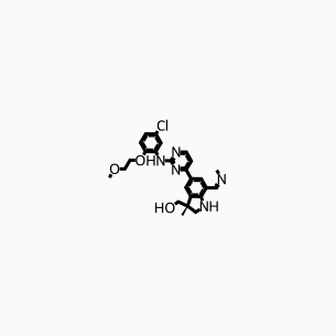 C/N=C\c1cc(-c2ccnc(Nc3cc(Cl)ccc3OCCOC)n2)cc2c1NC[C@]2(C)CO